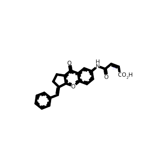 O=C(O)/C=C\C(=O)Nc1ccc2oc3c(c(=O)c2c1)CCC3=Cc1ccccc1